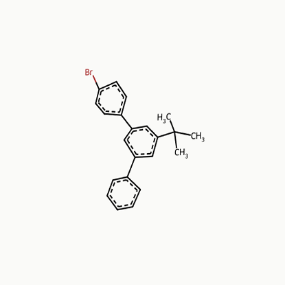 CC(C)(C)c1cc(-c2ccccc2)cc(-c2ccc(Br)cc2)c1